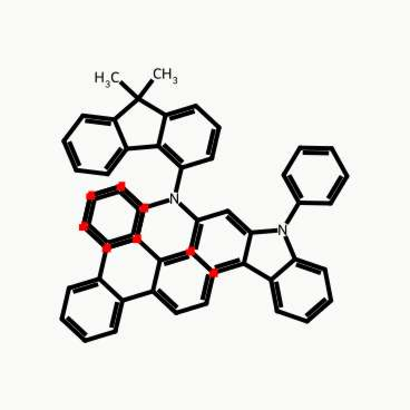 CC1(C)c2ccccc2-c2c(N(c3ccc4c5ccccc5n(-c5ccccc5)c4c3)c3ccccc3-c3ccccc3-c3ccccc3-c3ccccc3)cccc21